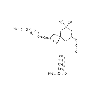 C.C.C.C.C.C.CC1(C)CC(N=C=O)CC(C)(CN=C=O)C1.N=C=O.N=C=O